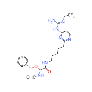 NC(=NCC(F)(F)F)Nc1ccnc(CCCCCNC(=O)C(NC=O)OCc2ccccc2)n1